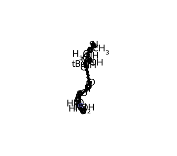 Cc1ncsc1-c1ccc([C@H](C)NC(=O)[C@@H]2C[C@@H](O)CN2C(=O)[C@@H](NC(=O)CCCCCCCCC(=O)N2CCN(CCOc3cccc(N4CCCC(O/C(=C/C(=N)c5ccccc5O)C(=N)N)C4)c3)CC2)C(C)(C)C)cc1